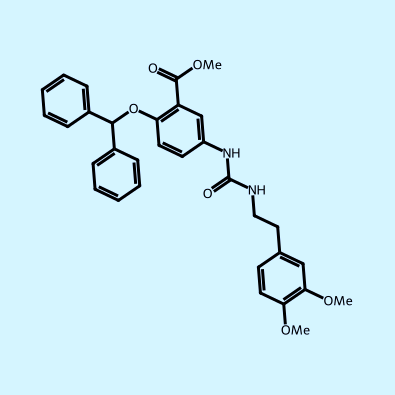 COC(=O)c1cc(NC(=O)NCCc2ccc(OC)c(OC)c2)ccc1OC(c1ccccc1)c1ccccc1